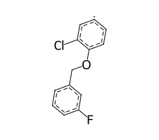 Fc1cccc(COc2cc[c]cc2Cl)c1